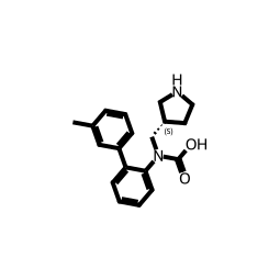 Cc1cccc(-c2ccccc2N(C[C@H]2CCNC2)C(=O)O)c1